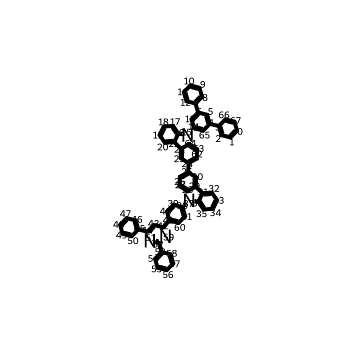 c1ccc(-c2cc(-c3ccccc3)cc(-n3c4ccccc4c4cc(-c5ccc6c(c5)c5ccccc5n6-c5ccc(-c6cc(-c7ccccc7)nc(-c7ccccc7)n6)cc5)ccc43)c2)cc1